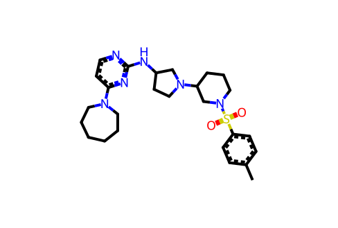 Cc1ccc(S(=O)(=O)N2CCCC(N3CCC(Nc4nccc(N5CCCCCC5)n4)C3)C2)cc1